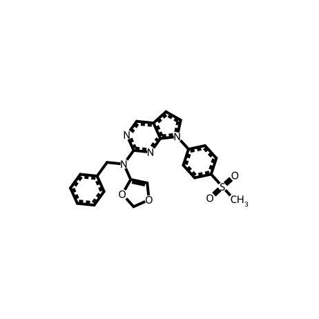 CS(=O)(=O)c1ccc(-n2ccc3cnc(N(Cc4ccccc4)C4=COCO4)nc32)cc1